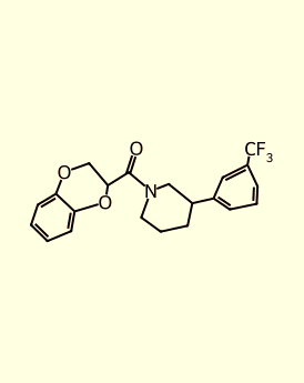 O=C(C1COc2ccccc2O1)N1CCCC(c2cccc(C(F)(F)F)c2)C1